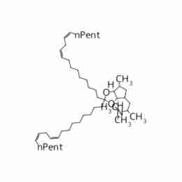 CCCCC/C=C\C/C=C\CCCCCCCCC1(CCCCCCCC/C=C\C/C=C\CCCCC)O[C@@H]2C(CC(C)N(C)C)CC(C)[C@@H]2O1